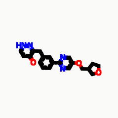 O=c1cc[nH]nc1Cc1cccc(-c2ncc(OCC3CCOC3)cn2)c1